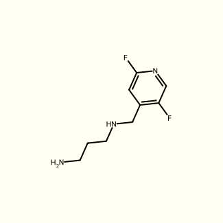 NCCCNCc1cc(F)ncc1F